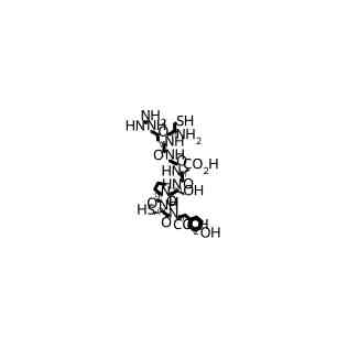 N=C(N)NCCC[C@H](NC(=O)[C@H](N)CS)C(=O)NCC(=O)N[C@@H](CC(=O)O)C(=O)N[C@@H](CO)C(=O)N1CCC[C@H]1C(=O)N[C@@H](CS)C(=O)N[C@@H](Cc1ccc(O)cc1)C(=O)O